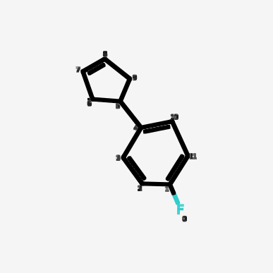 Fc1ccc(C2[CH]C=CC2)cc1